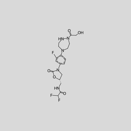 O=C(NC[C@H]1CN(c2ccc(N3CCNN(C(=O)CO)CC3)c(F)c2)C(=O)O1)C(F)F